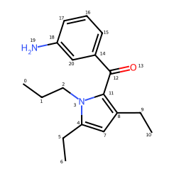 CCCn1c(CC)cc(CC)c1C(=O)c1cccc(N)c1